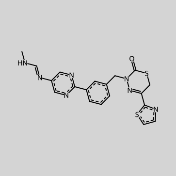 CNC=Nc1cnc(-c2cccc(CN3N=C(c4nccs4)CSC3=O)c2)nc1